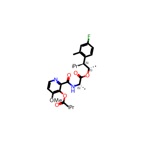 COc1ccnc(C(=O)N[C@@H](C)C(=O)O[C@@H](C)[C@H](c2ccc(F)cc2C)C(C)C)c1OC(=O)C(C)C